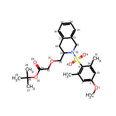 COc1cc(C)c(S(=O)(=O)N2Cc3ccccc3CC2COCC(=O)OC(C)(C)C)c(C)c1